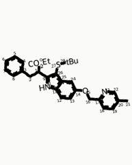 CCOC(=O)C(Cc1ccccc1)c1[nH]c2ccc(OCc3ccc(C)cn3)cc2c1SC(C)(C)C